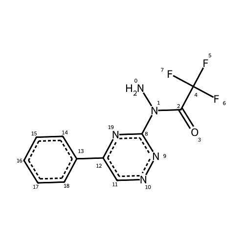 NN(C(=O)C(F)(F)F)c1nncc(-c2ccccc2)n1